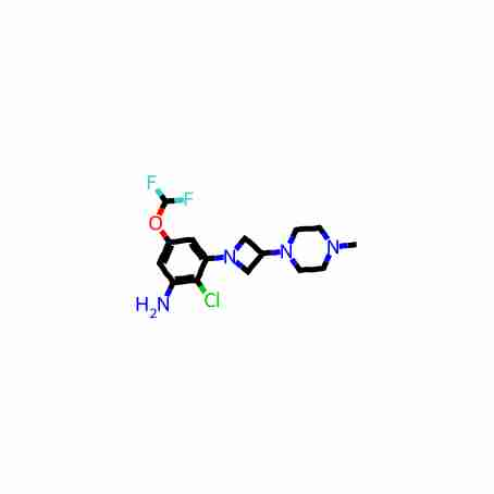 CN1CCN(C2CN(c3cc(OC(F)F)cc(N)c3Cl)C2)CC1